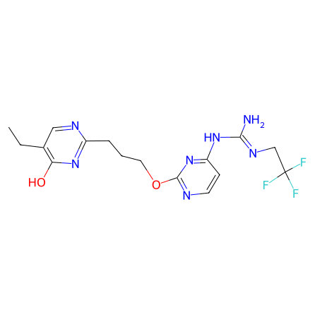 CCc1cnc(CCCOc2nccc(NC(N)=NCC(F)(F)F)n2)nc1O